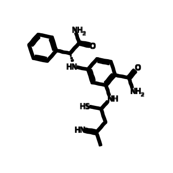 CC(=N)CC(S)Nc1cc(N[C@@H](C(N)=O)c2ccccc2)ccc1C(N)=O